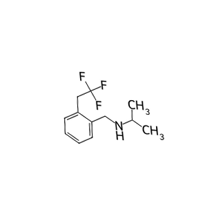 CC(C)NCc1ccccc1CC(F)(F)F